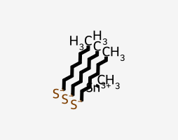 CCCCCCCC[S-].CCCCCCCC[S-].CCCCCCCC[S-].[CH3][Sn+3]